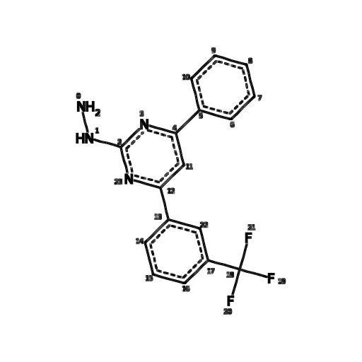 NNc1nc(-c2ccccc2)cc(-c2cccc(C(F)(F)F)c2)n1